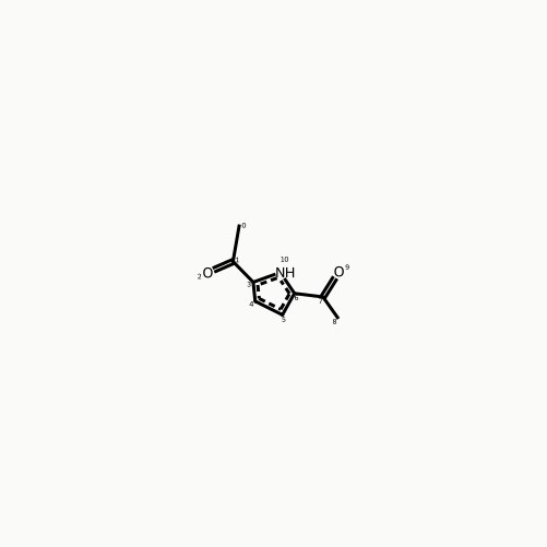 CC(=O)c1ccc(C(C)=O)[nH]1